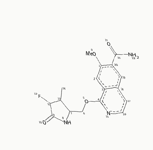 COc1cc2c(OCC3NC(=O)C(F)C3C)nccc2cc1C(N)=O